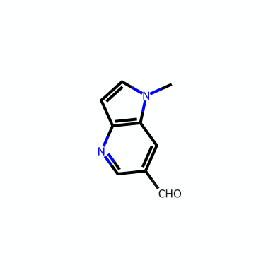 Cn1ccc2ncc(C=O)cc21